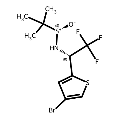 CC(C)(C)[S@@+]([O-])N[C@@H](c1cc(Br)cs1)C(F)(F)F